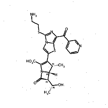 C[C@@H](O)[C@H]1C(=O)N2C(C(=O)O)=C(c3cn4c(SCCN)nc(C(=O)c5cccnc5)c4s3)[C@H](C)[C@H]12